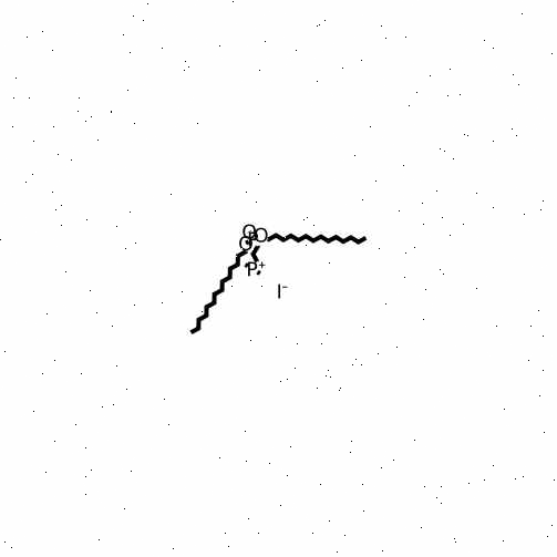 CCCCCCCCCCCCCCOP(=O)(CCC[P+](C)(C)C)OCCCCCCCCCCCCCC.[I-]